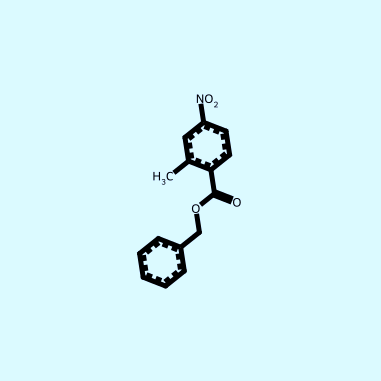 Cc1cc([N+](=O)[O-])ccc1C(=O)OCc1ccccc1